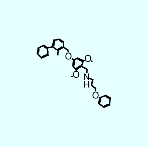 COc1cc(OCc2cccc(-c3ccccc3)c2C)cc(OC)c1CNCCCOc1ccccc1